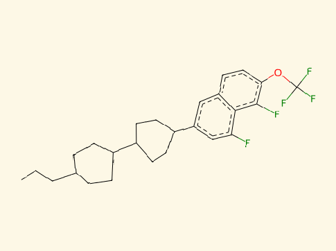 CCCC1CCC(C2CCC(c3cc(F)c4c(F)c(OC(F)(F)F)ccc4c3)CC2)CC1